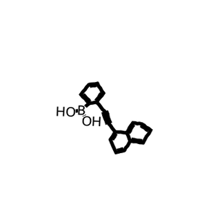 OB(O)c1ccccc1C#Cc1cccc2ccccc12